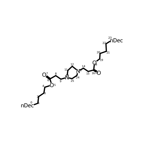 CCCCCCCCCCCCCCOC(=O)CCN1CCN(CCC(=O)OCCCCCCCCCCCCCC)CC1